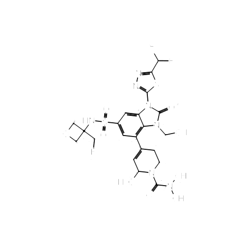 CCn1c(=O)n(-c2nnc(C(F)F)s2)c2cc(S(=O)(=O)NC3(CF)COC3)cc(C3=CC(C)N(C(=O)N(C)C)CC3)c21